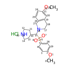 COc1ccc(S(=O)(=O)C(C2CCNCC2)N2CCc3cc(OC)ccc3C2)cc1.Cl